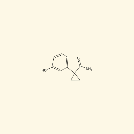 NC(=O)C1(c2cccc(O)c2)CC1